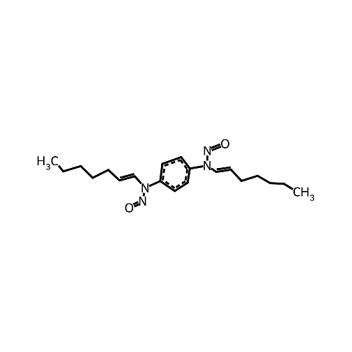 CCCCCC=CN(N=O)c1ccc(N(C=CCCCCC)N=O)cc1